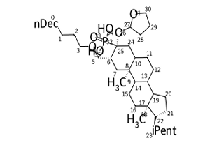 CCCCCCCCCCCCCOC[C@H]1C[C@@]2(C)C(CCC3C2CC[C@@]2(C)C3CC[C@@H]2[C@H](C)CCC)C[C@]1(OC1CCCO1)P(=O)(O)O